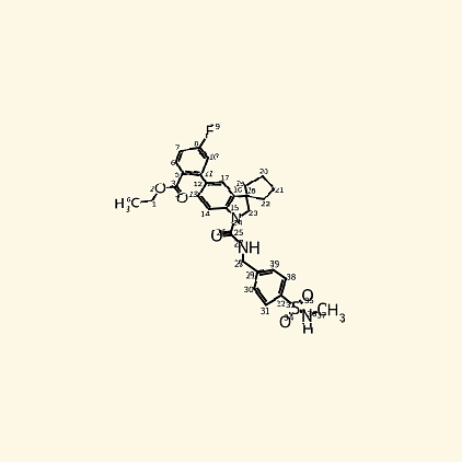 CCOC(=O)c1ccc(F)cc1-c1ccc2c(c1)C1(CCCC1)CN2C(=O)NCc1ccc(S(=O)(=O)NC)cc1